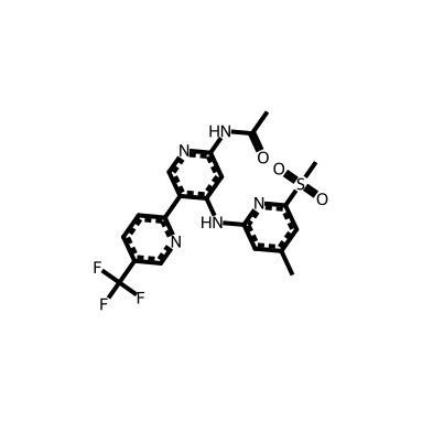 CC(=O)Nc1cc(Nc2cc(C)cc(S(C)(=O)=O)n2)c(-c2ccc(C(F)(F)F)cn2)cn1